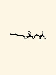 CCCCCOC(=O)OC/C(I)=C(/Br)I